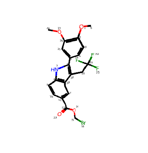 COc1ccc(-c2[nH]c3ccc(C(=O)OCBr)cc3c2CC(F)(F)F)cc1OC